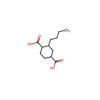 CCCCC1CC(C(=O)O)CCC1C(=O)O